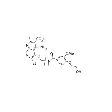 CCc1ccc2nc(C)c(C(=O)O)c(N)c2c1OCC(C)(C)NC(=O)c1ccc(OCCO)c(OC)c1